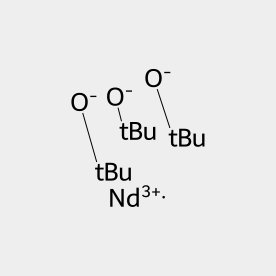 CC(C)(C)[O-].CC(C)(C)[O-].CC(C)(C)[O-].[Nd+3]